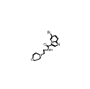 O=C(NCCN1CCOCC1)c1cnc2ccc(Br)cn12